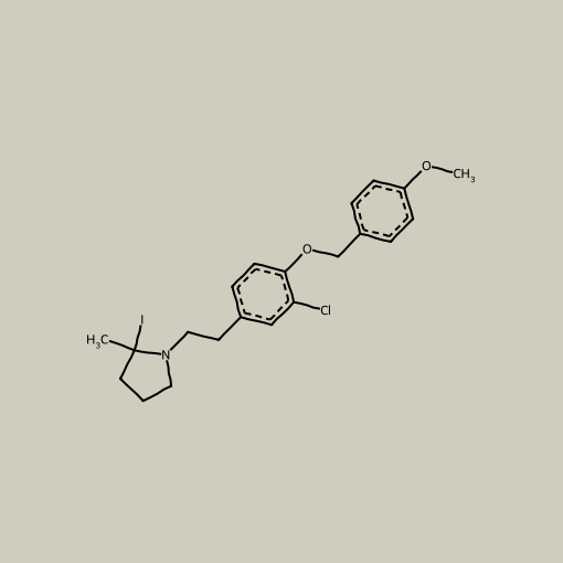 COc1ccc(COc2ccc(CCN3CCCC3(C)I)cc2Cl)cc1